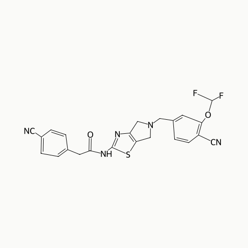 N#Cc1ccc(CC(=O)Nc2nc3c(s2)CN(Cc2ccc(C#N)c(OC(F)F)c2)C3)cc1